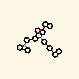 c1ccc(-c2cc(-c3cccc(-n4c5ccccc5c5ccccc54)c3)ccc2N(c2ccc(-c3ccc(-c4cccc5ccccc45)cc3)cc2)c2ccc(-c3cccc4ccccc34)cc2)cc1